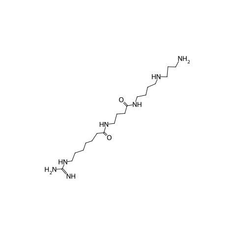 N=C(N)NCCCCCCC(=O)NCCCC(=O)NCCCCNCCCN